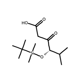 CC(C)[C@H](O[Si](C)(C)C(C)(C)C)C(=O)CC(=O)O